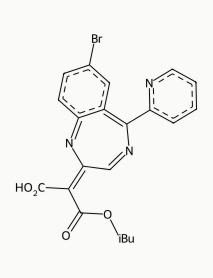 CCC(C)OC(=O)C(C(=O)O)=C1C=NC(c2ccccn2)=c2cc(Br)ccc2=N1